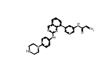 C=CC(=O)Nc1cncc(-c2cccc3cnc(Nc4ccc(N5CCNCC5)cc4)nc23)c1